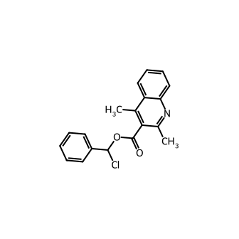 Cc1nc2ccccc2c(C)c1C(=O)OC(Cl)c1ccccc1